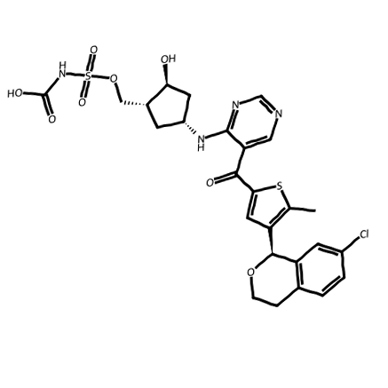 Cc1sc(C(=O)c2cncnc2N[C@@H]2C[C@H](COS(=O)(=O)NC(=O)O)[C@@H](O)C2)cc1[C@@H]1OCCc2ccc(Cl)cc21